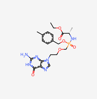 CCOC(=O)[C@H](C)NP(=O)(COCCn1cnc2c(=O)[nH]c(N)nc21)OCc1ccc(C)cc1